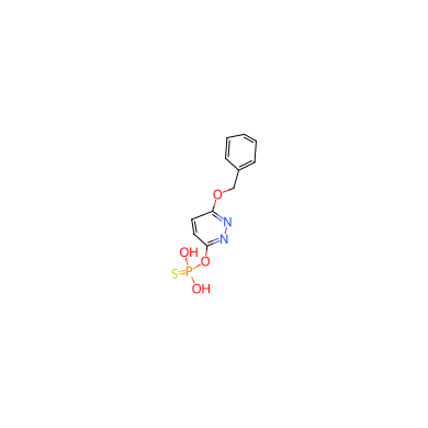 OP(O)(=S)Oc1ccc(OCc2ccccc2)nn1